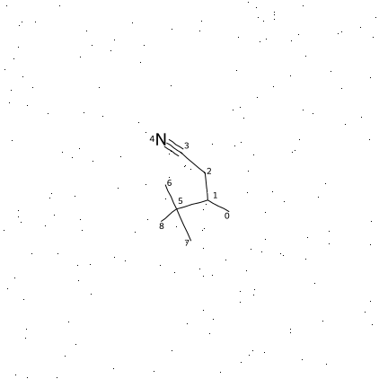 CC(CC#N)C(C)(C)C